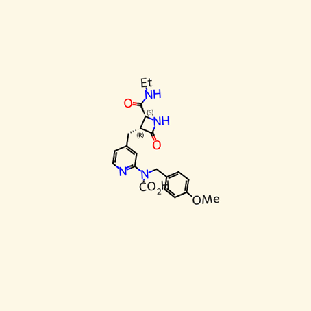 CCNC(=O)[C@H]1NC(=O)[C@@H]1Cc1ccnc(N(Cc2ccc(OC)cc2)C(=O)O)c1